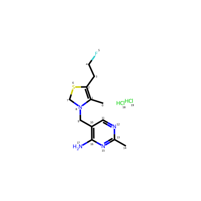 CC1=C(CCF)SCN1Cc1cnc(C)nc1N.Cl.Cl